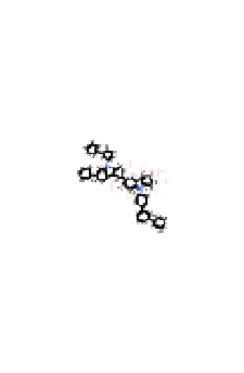 Bc1c(B)c(B)c2c(c1B)c1c(B)c(-c3ccc4c(c3)c3ccc(-c5ccccc5)cc3n4-c3cccc(-c4ccccc4)c3)c(B)c(B)c1n2-c1ccc(-c2cccc(-c3ccccc3)c2)cc1